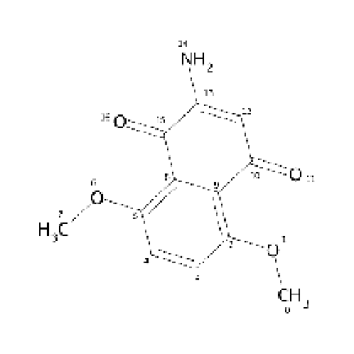 COc1ccc(OC)c2c1C(=O)C=C(N)C2=O